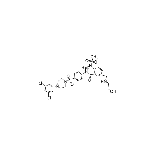 CN(c1ccc(CNCCO)cc1C(=O)Nc1ccc(S(=O)(=O)N2CCN(c3cc(Cl)cc(Cl)c3)CC2)cc1)S(C)(=O)=O